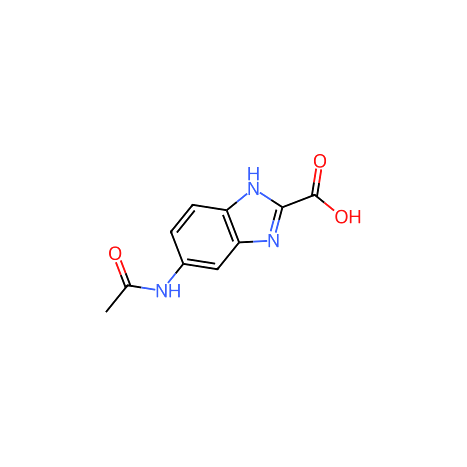 CC(=O)Nc1ccc2[nH]c(C(=O)O)nc2c1